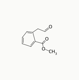 COC(=O)c1ccccc1CC=O